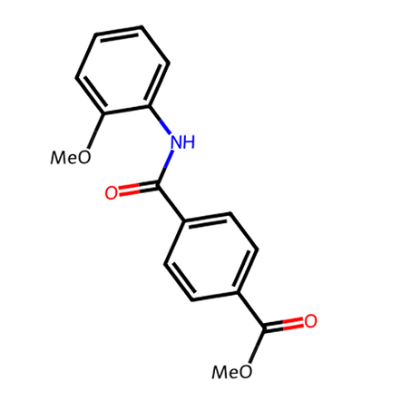 COC(=O)c1ccc(C(=O)Nc2ccccc2OC)cc1